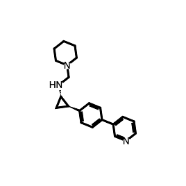 c1cncc(-c2ccc([C@H]3C[C@@H]3NCN3CCCCC3)cc2)c1